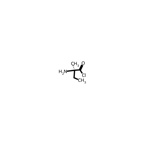 CC[C@@](C)(N)C(=O)Cl